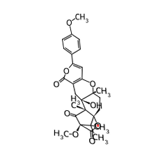 COc1ccc(-c2cc3c(c(=O)o2)C[C@@]2(O)[C@@]4(C)C(=O)[C@@]5(OC)C(=O)O[C@]4(CC[C@@]2(C)O3)C5(C)C)cc1